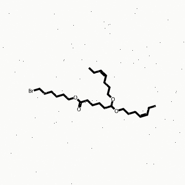 CC/C=C\CCCOC(CCCCC(=O)OCCCCCCBr)OCCC/C=C\CC